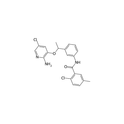 Cc1ccc(Cl)c(C(=O)Nc2cccc(C(C)Oc3cc(Cl)cnc3N)c2)c1